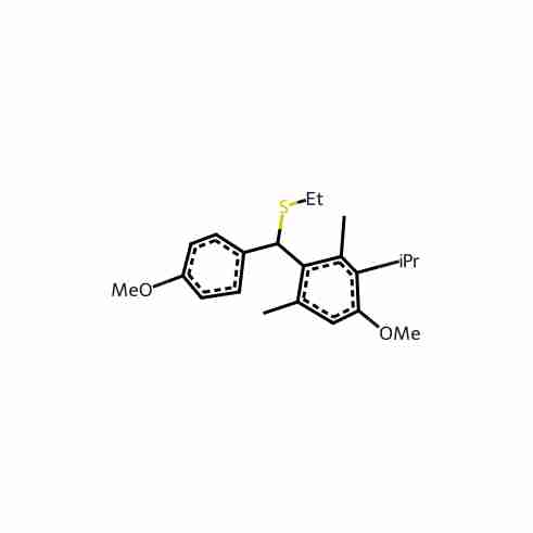 CCSC(c1ccc(OC)cc1)c1c(C)cc(OC)c(C(C)C)c1C